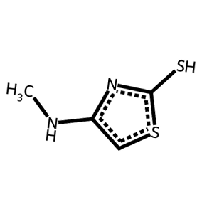 CNc1csc(S)n1